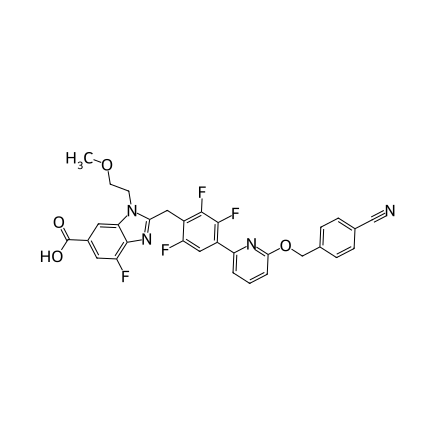 COCCn1c(Cc2c(F)cc(-c3cccc(OCc4ccc(C#N)cc4)n3)c(F)c2F)nc2c(F)cc(C(=O)O)cc21